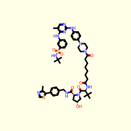 Cc1cnc(Nc2ccc(N3CCN(C(=O)CCCCCCC(=O)N[C@H](C(=O)N4C[C@H](O)C[C@H]4C(=O)NCc4ccc(-c5scnc5C)cc4)C(C)(C)C)CC3)cc2)nc1Nc1cccc(S(=O)(=O)NC(C)(C)C)c1